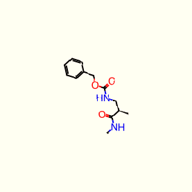 CNC(=O)[C@H](C)CNC(=O)OCc1ccccc1